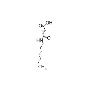 CCCCCCCNC(=O)/C=C/C(=O)O